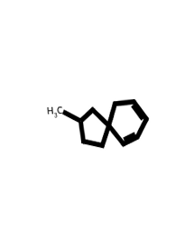 CC1CCC2(C=CC=CC2)C1